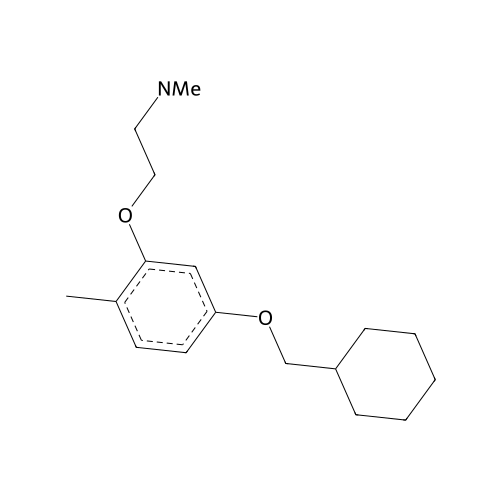 CNCCOc1cc(OCC2CCCCC2)ccc1C